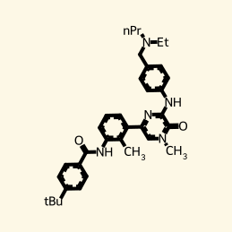 CCCN(CC)Cc1ccc(Nc2nc(-c3cccc(NC(=O)c4ccc(C(C)(C)C)cc4)c3C)cn(C)c2=O)cc1